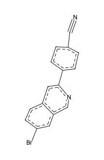 N#Cc1ccc(-c2cc3ccc(Br)cc3cn2)cc1